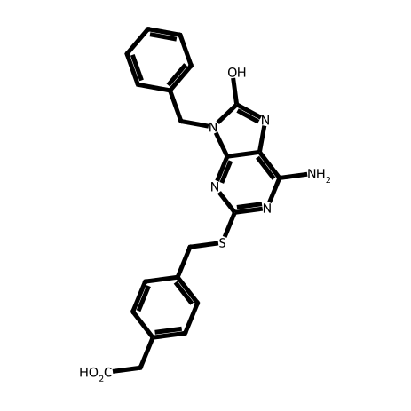 Nc1nc(SCc2ccc(CC(=O)O)cc2)nc2c1nc(O)n2Cc1ccccc1